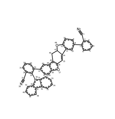 N#Cc1ccccc1-c1ccc2c(c1)C1=Cc3oc4ccc(-c5cccc(C#N)c5-n5c6ccccc6c6ccccc65)cc4c3CC1O2